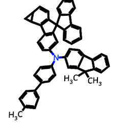 Cc1ccc(-c2ccc(N(c3ccc4c(c3)C(C)(C)c3ccccc3-4)c3ccc4c(c3)C3(C5=C4C4CC4C=C5)c4ccccc4-c4ccccc43)cc2)cc1